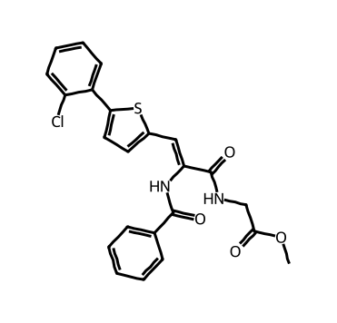 COC(=O)CNC(=O)C(=Cc1ccc(-c2ccccc2Cl)s1)NC(=O)c1ccccc1